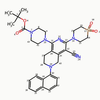 CC(C)(C)OC(=O)N1CCN(c2nc(N3CCS(=O)(=O)CC3)c(C#N)c3c2CCN(c2cccc4ccccc24)C3)CC1